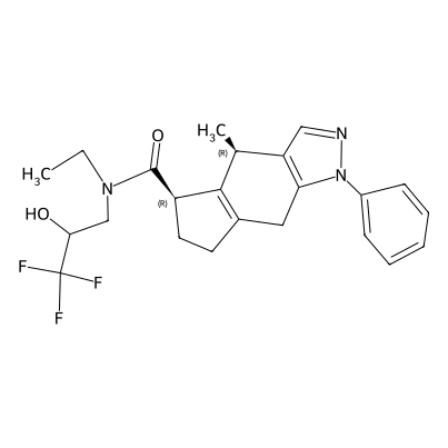 CCN(CC(O)C(F)(F)F)C(=O)[C@@H]1CCC2=C1[C@@H](C)c1cnn(-c3ccccc3)c1C2